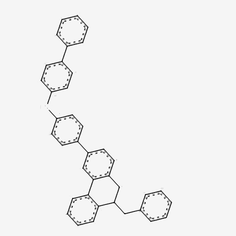 c1ccc(CC2Cc3ccc(-c4ccc(Nc5ccc(-c6ccccc6)cc5)cc4)cc3-c3ccccc32)cc1